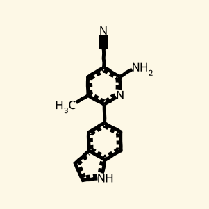 Cc1cc(C#N)c(N)nc1-c1ccc2[nH]ccc2c1